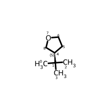 CC(C)(C)[C@@H]1CCOC1